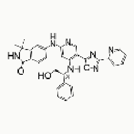 CC1(C)NC(=O)c2ccc(Nc3cc(N[C@H](CO)c4ccccc4)c(-c4nc(-c5ccccn5)no4)cn3)cc21